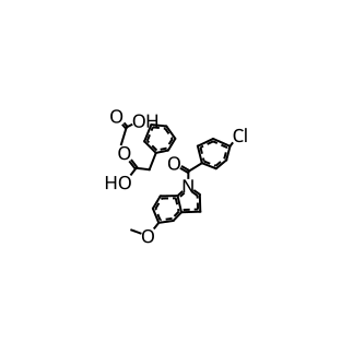 CC(=O)O.COc1ccc2c(ccn2C(=O)c2ccc(Cl)cc2)c1.O=C(O)Cc1ccccc1